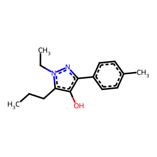 CCCc1c(O)c(-c2ccc(C)cc2)nn1CC